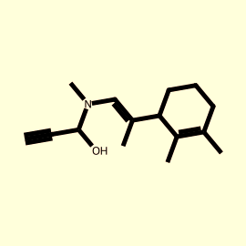 C#CC(O)N(C)/C=C(\C)C1CCCC(C)=C1C